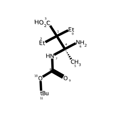 CCC(CC)(C(=O)O)[C@@](C)(N)NC(=O)OC(C)(C)C